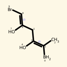 B/C(C)=C(\O)C/C(O)=C/Br